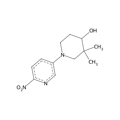 CC1(C)CN(c2ccc([N+](=O)[O-])nc2)CCC1O